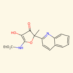 CCOC(=O)NC1=C(O)C(=O)C(C)(c2ccc3ccccc3n2)O1